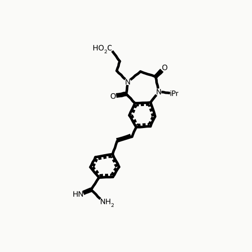 CC(C)N1C(=O)CN(CCC(=O)O)C(=O)c2cc(C=Cc3ccc(C(=N)N)cc3)ccc21